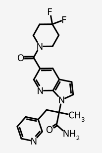 CC(Cc1cccnc1)(C(N)=O)n1ccc2cc(C(=O)N3CCC(F)(F)CC3)cnc21